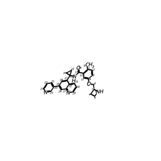 Cc1ccc(OC[C@@H]2CCN2)cc1C(=O)NC1(c2cc(-c3cccnc3)cc3ncccc23)CC1